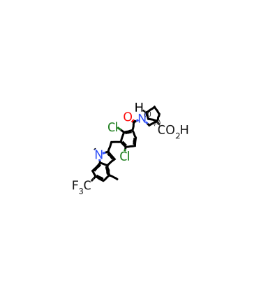 Cc1cc(C(F)(F)F)cc2c1cc(Cc1c(Cl)ccc(C(=O)N3C[C@@]4(C(=O)O)CC[C@@H]3C4)c1Cl)n2C